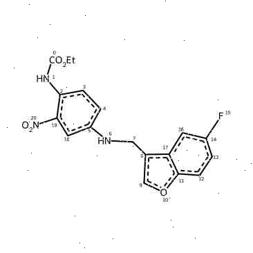 CCOC(=O)Nc1ccc(NCc2coc3ccc(F)cc23)cc1[N+](=O)[O-]